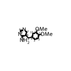 COc1ccc(Cc2cncnc2N)cc1OC